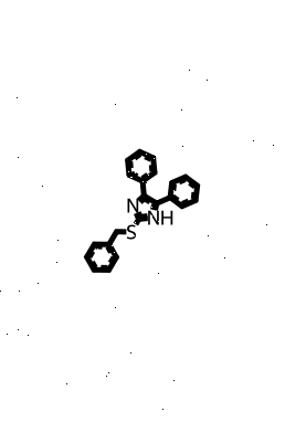 c1ccc(CSc2nc(-c3ccccc3)c(-c3ccccc3)[nH]2)cc1